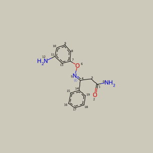 NC(=O)C/C(=N\Oc1cccc(N)c1)c1ccccc1